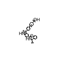 CC(C)(O)C1CCN(c2ccc(-c3n[nH]c4ccc(C(=O)NC(c5ccccc5)C5CC5)cc34)cc2)CC1